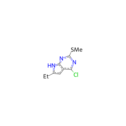 CCc1cc2c(Cl)nc(SC)nc2[nH]1